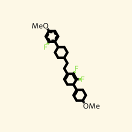 COc1ccc(C2CCC(CCC3=CCC(C4=CCC(OC)CC4)C(F)=C3F)CC2)c(F)c1